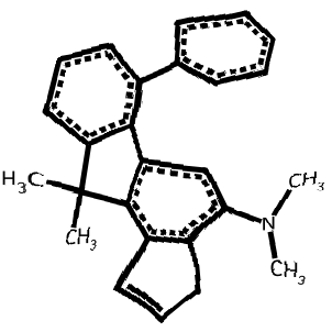 CN(C)c1cc2c(c3c1CC=C3)C(C)(C)c1cccc(-c3ccccc3)c1-2